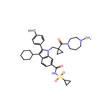 COc1ccc(-c2c(C3CCCCC3)c3ccc(C(=O)NS(=O)(=O)C4CC4)cc3n2CC2(C(=O)N3CCCN(C)CC3)CC2)cc1